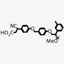 CO/N=C(\COc1ccc(COc2ccc(C(C#N)CC(=O)O)cc2)cc1)c1cccc(C)c1